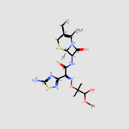 CC(C)(C)OC(O)C(C)(C)ON=C(C(=O)N[C@@H]1C(=O)N2C(C(=O)O)=C(CCl)CS[C@H]12)c1nsc(N)n1